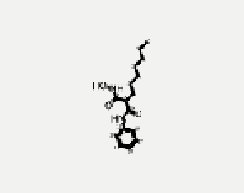 CCCCCCCC(C(=O)NO)C(=O)Nc1ccccc1